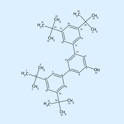 CC(C)(C)c1cc(-c2cc(O)cc(-c3cc(C(C)(C)C)cc(C(C)(C)C)c3)c2)cc(C(C)(C)C)c1